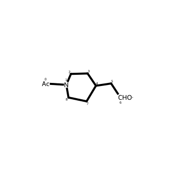 CC(=O)N1CCC(C[C]=O)CC1